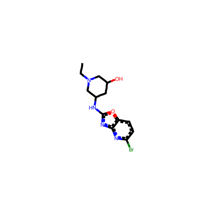 CCN1CC(O)CC(Nc2nc3nc(Br)ccc3o2)C1